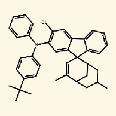 CC1=CC2(c3ccccc3-c3cc(Cl)c(N(c4ccccc4)c4ccc(C(C)(C)C)cc4)cc32)C2CC(C)CC1C2